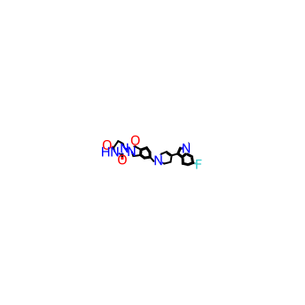 Cn1cc(C2=CCN(Cc3ccc4c(c3)CN(N3CCC(=O)NC3=O)C4=O)CC2)c2ccc(F)cc21